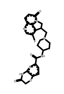 O=C1COc2ccc(C(=O)NC3CCN(CC4Cn5c(=O)ccc6ncc(F)c4c65)CC3)nc2N1